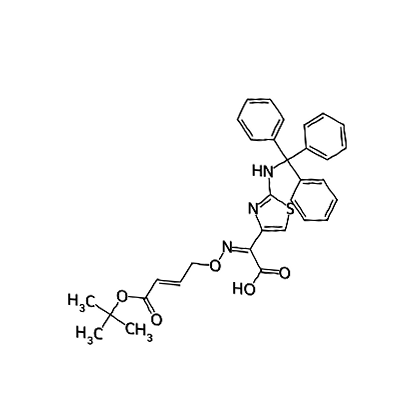 CC(C)(C)OC(=O)C=CCON=C(C(=O)O)c1csc(NC(c2ccccc2)(c2ccccc2)c2ccccc2)n1